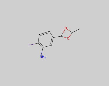 CC1OC(c2ccc(I)c(N)c2)O1